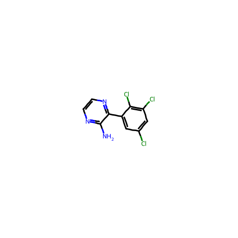 Nc1nccnc1-c1cc(Cl)cc(Cl)c1Cl